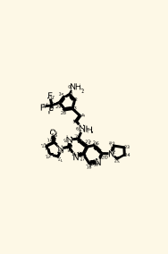 Nc1cc(CCNc2nc(N3CCCC3=O)nc3cnc(N4CCCC4)cc23)cc(C(F)(F)F)c1